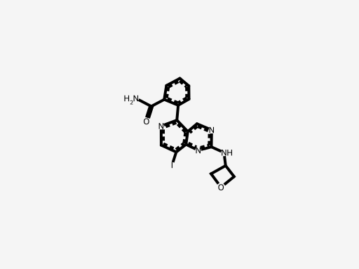 NC(=O)c1ccccc1-c1ncc(I)c2nc(NC3COC3)ncc12